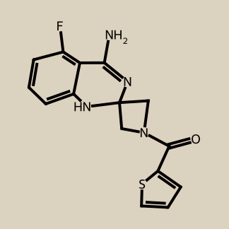 NC1=NC2(CN(C(=O)c3cccs3)C2)Nc2cccc(F)c21